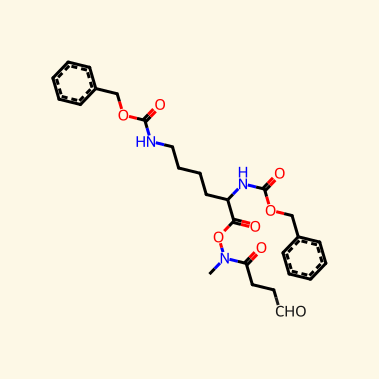 CN(OC(=O)C(CCCCNC(=O)OCc1ccccc1)NC(=O)OCc1ccccc1)C(=O)CCC=O